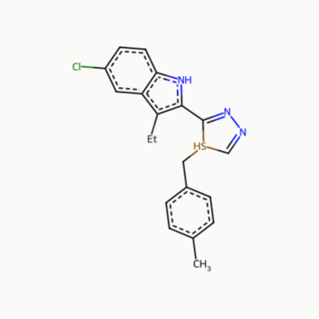 CCc1c(C2=NN=C[SH]2Cc2ccc(C)cc2)[nH]c2ccc(Cl)cc12